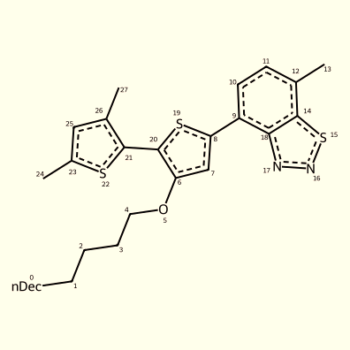 CCCCCCCCCCCCCCOc1cc(-c2ccc(C)c3snnc23)sc1-c1sc(C)cc1C